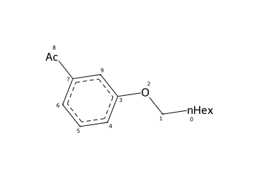 CCCCCCCOc1cccc(C(C)=O)c1